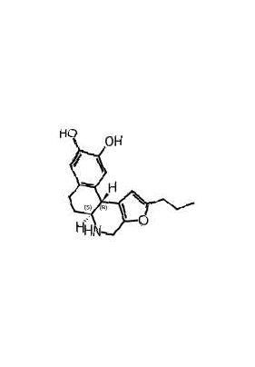 CCCc1cc2c(o1)CN[C@H]1CCc3cc(O)c(O)cc3[C@H]21